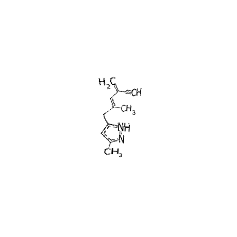 C#CC(=C)/C=C(\C)Cc1cc(C)n[nH]1